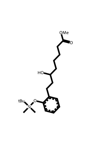 COC(=O)CCCCC(O)CCc1ccccc1O[Si](C)(C)C(C)(C)C